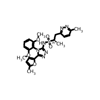 COc1cccc(OC)c1-n1c(NS(=O)(=O)[C@H](C)Cc2ccc(C)nn2)nnc1-c1ccc(C)o1